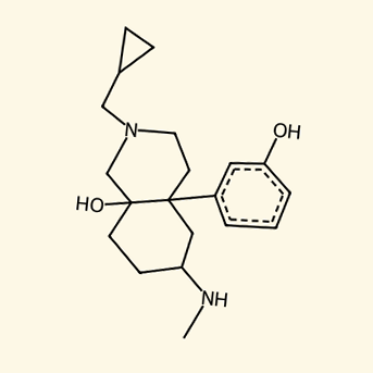 CNC1CCC2(O)CN(CC3CC3)CCC2(c2cccc(O)c2)C1